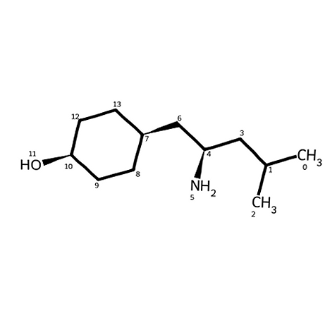 CC(C)C[C@@H](N)C[C@H]1CC[C@@H](O)CC1